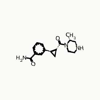 C[C@@H]1CNCCN1C(=O)[C@@H]1C[C@H]1c1cccc(C(N)=O)c1